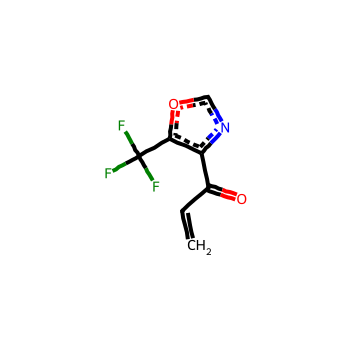 C=CC(=O)c1ncoc1C(F)(F)F